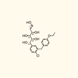 CCOc1ccc(Cc2cc([C@H](O)[C@H](O)[C@@H](O)[C@H](O)/C=N/O)ccc2Cl)cc1